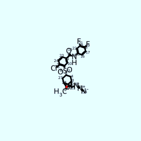 C[C@H]1CC2C[C@@H](S(=O)(=O)c3cc(C(=O)Nc4ccc(F)c(F)c4)ccc3Cl)CC1[C@@]2(O)CN=[N+]=[N-]